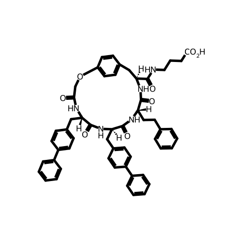 O=C(O)CCCNC(=O)[C@@H]1Cc2ccc(cc2)OCC(=O)N[C@@H](Cc2ccc(-c3ccccc3)cc2)C(=O)N[C@H](Cc2ccc(-c3ccccc3)cc2)C(=O)N[C@@H](CCc2ccccc2)C(=O)N1